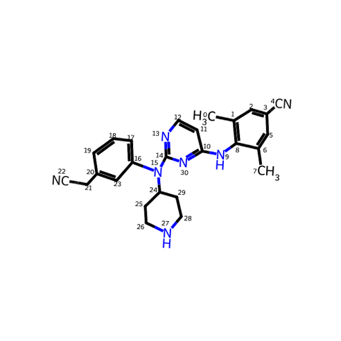 Cc1cc(C#N)cc(C)c1Nc1ccnc(N(c2cccc(CC#N)c2)C2CCNCC2)n1